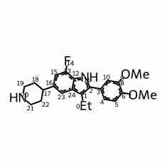 CCc1c(-c2ccc(OC)c(OC)c2)[nH]c2c(F)cc(C3CCNCC3)cc12